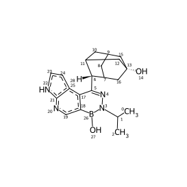 CC(C)N1N=C([C@H]2C3CC4CC2C[C@@](O)(C4)C3)c2c(cnc3[nH]ccc23)B1O